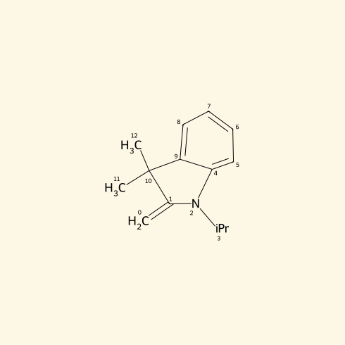 C=C1N(C(C)C)c2ccccc2C1(C)C